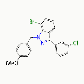 COc1ccc(Cn2nc(-c3cccc(Cl)c3)c3cccc(Br)c32)cc1